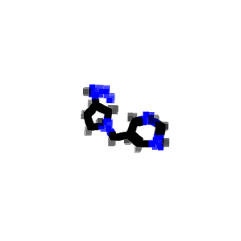 NC1CCN(Cc2cncnc2)C1